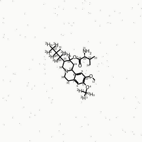 [2H]C([2H])([2H])Oc1cc2c(cc1OC)C1CC([2H])(OC(=O)[C@@H](N)C(C)C)C(C([2H])([2H])C([2H])(C)C([2H])([2H])[2H])CN1CC2